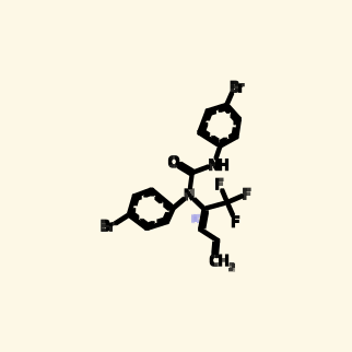 C=C/C=C(/N(C(=O)Nc1ccc(Br)cc1)c1ccc(Br)cc1)C(F)(F)F